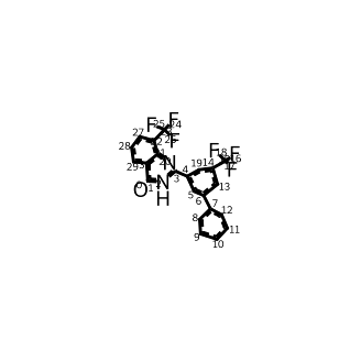 O=c1[nH]c(-c2cc(-c3ccccc3)cc(C(F)(F)F)c2)nc2c(C(F)(F)F)cccc12